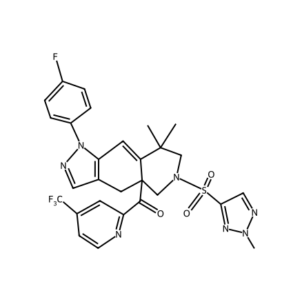 Cn1ncc(S(=O)(=O)N2CC(C)(C)C3=Cc4c(cnn4-c4ccc(F)cc4)CC3(C(=O)c3cc(C(F)(F)F)ccn3)C2)n1